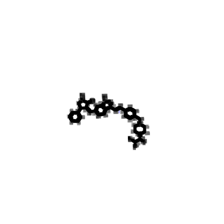 O=C1NCC(c2ccccc2)C1=Cc1ccc2c(/C=C/c3ccc(CN4CCN(C(F)C(F)F)CC4)cc3)n[nH]c2c1